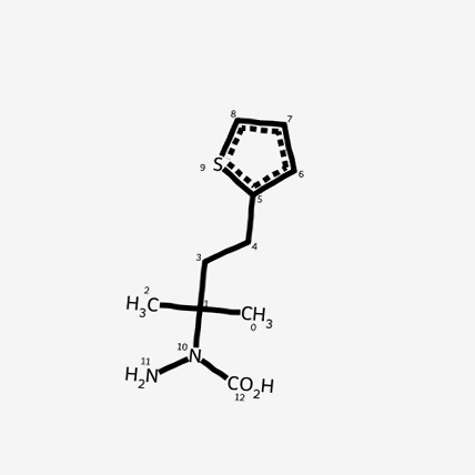 CC(C)(CCc1cccs1)N(N)C(=O)O